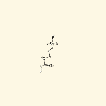 C=CC(=O)OCCC[Si](C)(C)F